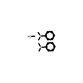 CN(C)c1ccccc1.CN(C)c1ccccc1.CO